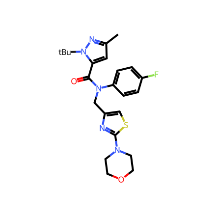 Cc1cc(C(=O)N(Cc2csc(N3CCOCC3)n2)c2ccc(F)cc2)n(C(C)(C)C)n1